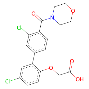 O=C(O)COc1ccc(Cl)cc1-c1ccc(C(=O)N2CCOCC2)c(Cl)c1